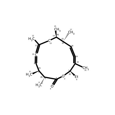 CC[C@H]1OC(=O)[C@H](C)[C@@H](C)C=C=C(C)C[C@@H](C)[C@H](C)C=C=C1C